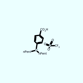 CCCCC[S+](CCCCC)c1ccc(C(=O)O)cc1.O=S(=O)([O-])C(F)(F)F